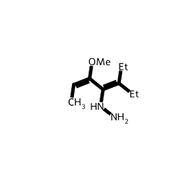 C/C=C(/OC)C(NN)=C(CC)CC